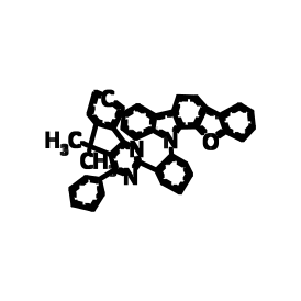 CC1(C)c2ccccc2-c2nc(-c3ccccc3-n3c4ccccc4c4ccc5c6ccccc6oc5c43)nc(-c3ccccc3)c21